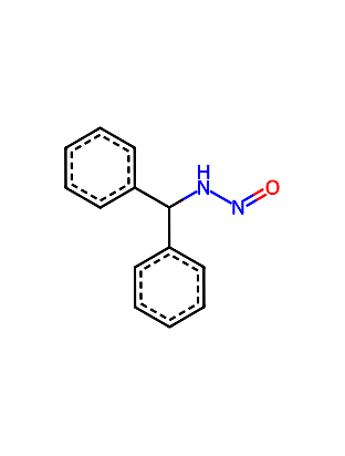 O=NNC(c1ccccc1)c1ccccc1